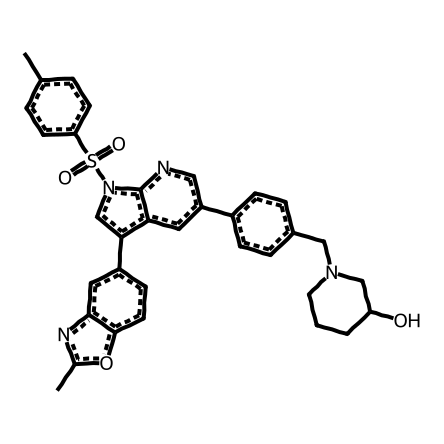 Cc1ccc(S(=O)(=O)n2cc(-c3ccc4oc(C)nc4c3)c3cc(-c4ccc(CN5CCCC(O)C5)cc4)cnc32)cc1